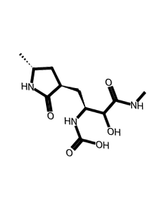 CNC(=O)C(O)[C@H](C[C@@H]1C[C@@H](C)NC1=O)NC(=O)O